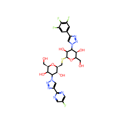 OCC1O[C@@H](SC[C@@H]2O[C@H](CO)C(O)C(n3cc(-c4ncc(F)cn4)nn3)[C@H]2O)C(O)C(n2cc(-c3cc(F)c(F)c(F)c3)nn2)[C@H]1O